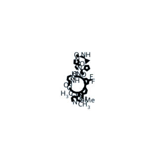 CCn1c(-c2cccnc2[C@H](C)OC)c2c3cc(ccc31)-c1cc(cc(C(F)F)c1)C[C@H](NC(=O)[C@H](C1CCCC1)N1CC[C@]3(CCN(C(=O)[C@@H]4N[C@@H]4C4CC4)C3)C1=O)C(=O)N1CCC[C@H](N1)C(=O)OCC(C)(C)C2